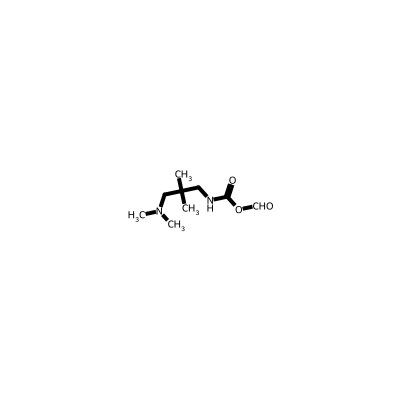 CN(C)CC(C)(C)CNC(=O)OC=O